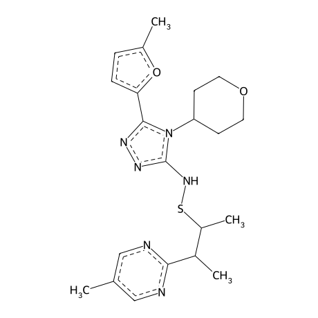 Cc1cnc(C(C)C(C)SNc2nnc(-c3ccc(C)o3)n2C2CCOCC2)nc1